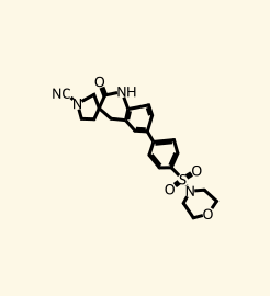 N#CN1CCC2(Cc3cc(-c4ccc(S(=O)(=O)N5CCOCC5)cc4)ccc3NC2=O)C1